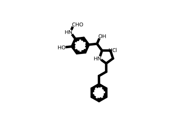 Cl.O=CNc1cc(C(O)C2CCC(CCc3ccccc3)N2)ccc1O